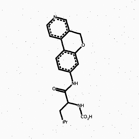 CC(C)CC(NC(=O)O)C(=O)Nc1ccc2c(c1)OCc1cnccc1-2